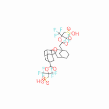 CC1(C23CC4CC(CC(C(=O)OC(CS(=O)(=O)O)(C(F)(F)F)C(F)(F)F)(C4)C2)C3=O)CC2CCCC(CC(=O)OC(CS(=O)(=O)O)(C(F)(F)F)C(F)(F)F)(C2)C1